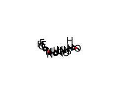 COc1ccc(NC(=S)NC(=O)NC2CC2c2ccc(-c3ncn(-c4ccc(OC(F)(F)F)cc4)n3)cc2)c(C)c1